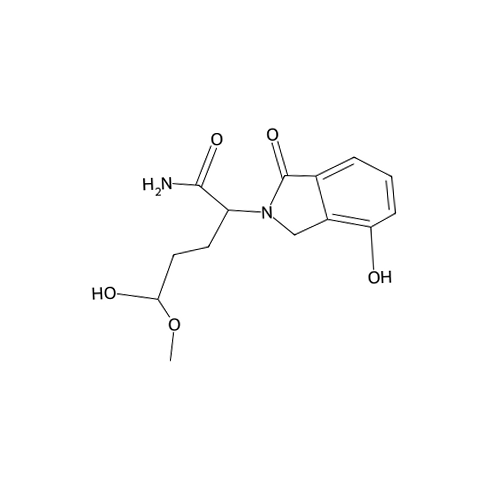 COC(O)CCC(C(N)=O)N1Cc2c(O)cccc2C1=O